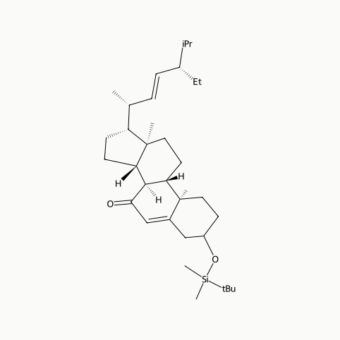 CC[C@H](/C=C/[C@@H](C)[C@H]1CC[C@H]2[C@@H]3C(=O)C=C4CC(O[Si](C)(C)C(C)(C)C)CC[C@]4(C)[C@H]3CC[C@]12C)C(C)C